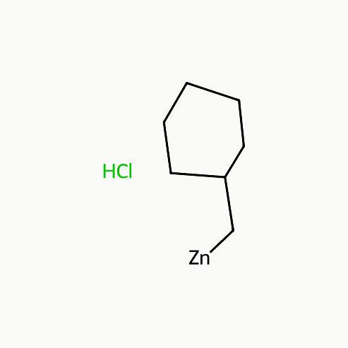 Cl.[Zn][CH2]C1CCCCC1